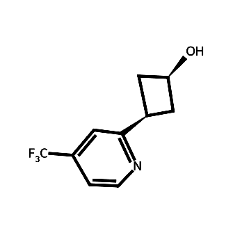 O[C@H]1C[C@@H](c2cc(C(F)(F)F)ccn2)C1